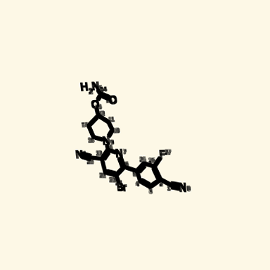 N#Cc1ccc(-c2nc(N3CCC(OC(N)=O)CC3)c(C#N)cc2Br)cc1F